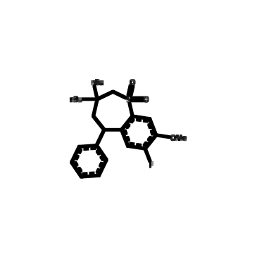 CCCCC1(CCCC)CC(c2ccccc2)c2cc(F)c(OC)cc2S(=O)(=O)C1